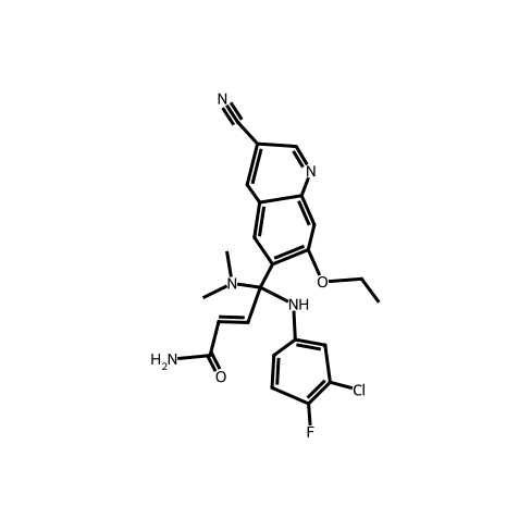 CCOc1cc2ncc(C#N)cc2cc1C(C=CC(N)=O)(Nc1ccc(F)c(Cl)c1)N(C)C